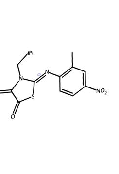 C=C1C(=O)S/C(=N\c2ccc([N+](=O)[O-])cc2C)N1CC(C)C